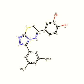 COc1cc(OC)cc(-c2nnc3n2N=C(c2ccc(O)c(O)c2)CS3)c1